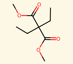 CCC(CC)(C(=O)OC)C(=O)OC